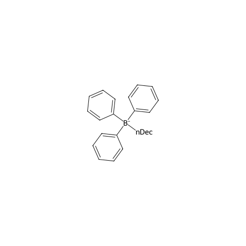 CCCCCCCCCC[B-](c1ccccc1)(c1ccccc1)c1ccccc1